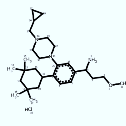 COCCC(N)c1ccc(C2CC(C)(C)CC(C)(C)C2)c(N2CCN(CC3CC3)CC2)c1.Cl